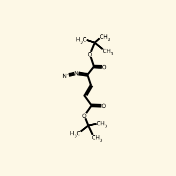 CC(C)(C)OC(=O)C=CC(=[N+]=[N-])C(=O)OC(C)(C)C